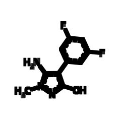 Cn1nc(O)c(-c2cc(F)cc(F)c2)c1N